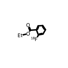 CCOC(=O)c1ccccc1[18F]